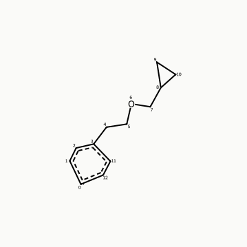 [c]1ccc(CCOCC2CC2)cc1